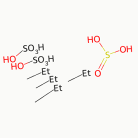 CCC.CCC.CCC.CCC.O=S(=O)(O)O.O=S(=O)(O)O.O=S(O)O